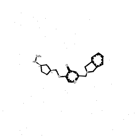 CSN[C@@H]1CC[C@H](COc2coc(CN3Cc4ccccc4C3)cc2=O)C1